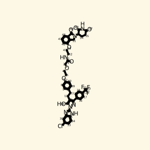 O=C(COCCOc1ccc(CCc2c(-c3ccc(C(F)(F)F)cc3)nn(-c3nc4cc(Cl)ccc4[nH]3)c2O)cc1)NCCOc1cccc2c1CN(C1CCC(=O)NC1=O)C2=O